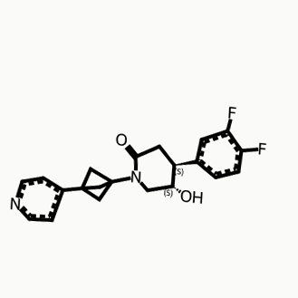 O=C1C[C@@H](c2ccc(F)c(F)c2)[C@H](O)CN1C12CC(c3ccncc3)(C1)C2